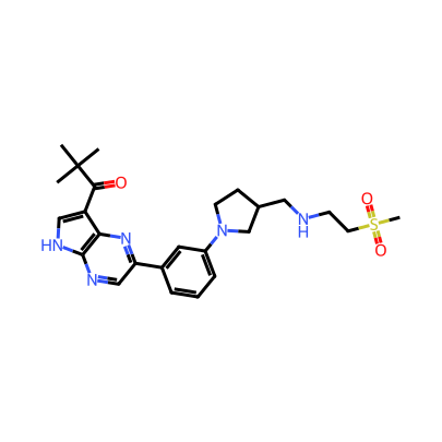 CC(C)(C)C(=O)c1c[nH]c2ncc(-c3cccc(N4CCC(CNCCS(C)(=O)=O)C4)c3)nc12